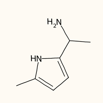 Cc1ccc(C(C)N)[nH]1